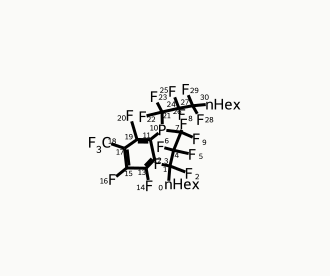 CCCCCCC(F)(F)C(F)(F)C(F)(F)P(c1cc(F)c(F)c(C(F)(F)F)c1F)C(F)(F)C(F)(F)C(F)(F)CCCCCC